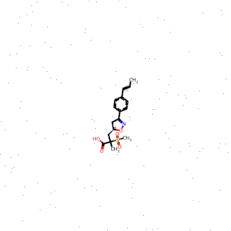 C/C=C/c1ccc(C2=NO[C@@H](CC(C)(C(=O)O)S(C)(=O)=O)C2)cc1